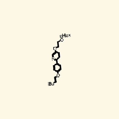 CCCCCCOCCOc1ccc(-c2ccc(OCCC(C)CC)cc2)nc1